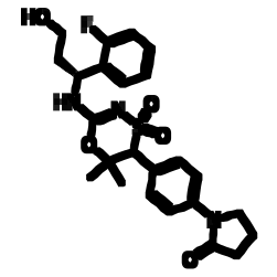 CC1(C)OC(N[C@@H](CCO)c2ccccc2F)=NS(=O)(=O)C1c1ccc(N2CCCC2=O)cc1